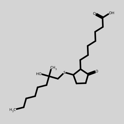 CCCCCCC(C)(O)CSC1CCC(=O)C1CCCCCCC(=O)O